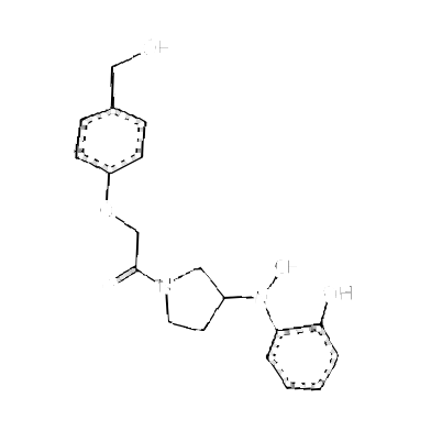 CN(c1ccccc1O)C1CCN(C(=O)COc2ccc(CO)cc2)C1